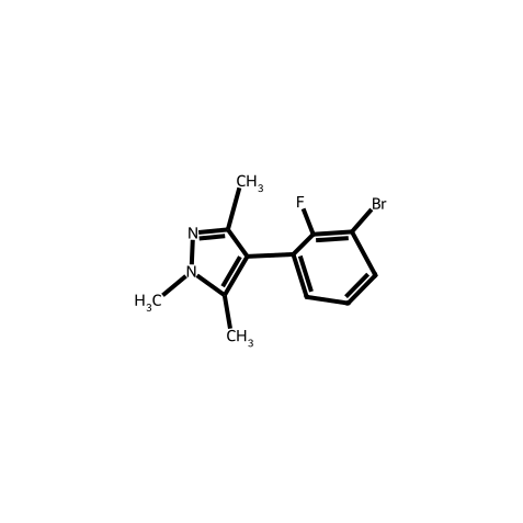 Cc1nn(C)c(C)c1-c1cccc(Br)c1F